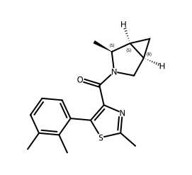 Cc1nc(C(=O)N2C[C@@H]3C[C@@H]3[C@@H]2C)c(-c2cccc(C)c2C)s1